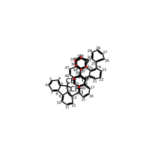 CC1(C)c2ccccc2-c2cccc(-c3cccc(N(c4cccc(-c5ccccc5)c4-c4ccccc4-c4ccccc4)c4cccc5ccccc45)c3)c21